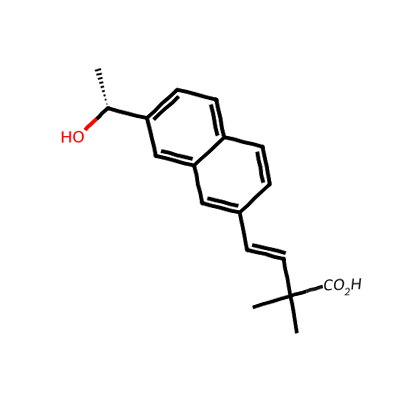 C[C@@H](O)c1ccc2ccc(/C=C/C(C)(C)C(=O)O)cc2c1